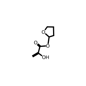 C=C(O)C(=O)OC1CCCO1